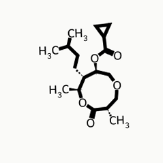 CC(C)CC[C@H]1[C@H](C)OC(=O)[C@@H](C)COC[C@@H]1OC(=O)C1CC1